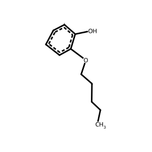 CCCCCOc1ccc[c]c1O